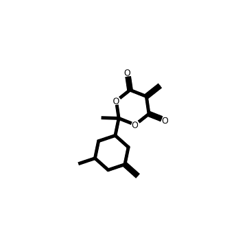 C=C1CC(C)CC(C2(C)OC(=O)C(=C)C(=O)O2)C1